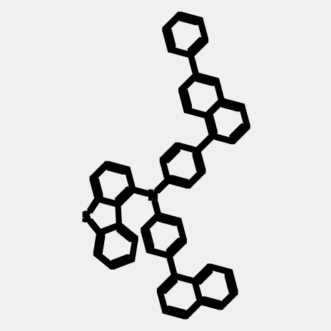 c1ccc(-c2ccc3c(-c4ccc(N(c5ccc(-c6cccc7ccccc67)cc5)c5cccc6sc7ccccc7c56)cc4)cccc3c2)cc1